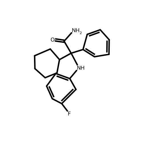 NC(=O)C(Nc1cccc(F)c1)(c1ccccc1)C1CCCCC1